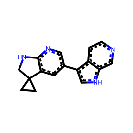 c1cc2c(-c3cnc4c(c3)C3(CC3)CN4)c[nH]c2cn1